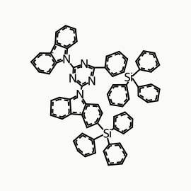 c1ccc([Si](c2ccccc2)(c2ccccc2)c2cccc(-c3nc(-n4c5ccccc5c5ccccc54)nc(-n4c5ccccc5c5cc([Si](c6ccccc6)(c6ccccc6)c6ccccc6)ccc54)n3)c2)cc1